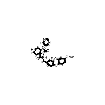 COc1ccc(Oc2ccc(CNC(=O)C3(NC(=O)Oc4cncnc4)CCNCC3)cc2)c(C(F)(F)F)c1